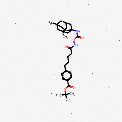 CC12CC3CC(C)(C1)CC(NC(=O)ONC(=O)CCCCc1ccc(C(=O)OC(C)(C)C)cc1)(C3)C2